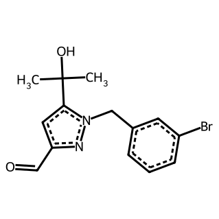 CC(C)(O)c1cc(C=O)nn1Cc1cccc(Br)c1